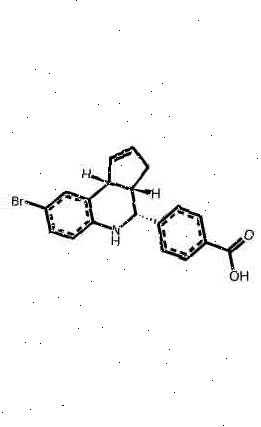 O=C(O)c1ccc([C@@H]2Nc3ccc(Br)cc3[C@@H]3C=CC[C@@H]32)cc1